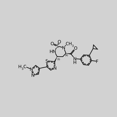 CN1[C@@H](C(=O)Nc2ccc(F)c(C3CC3)c2)C[C@@H](c2ncc(-c3cnn(C)c3)s2)NS1(=O)=O